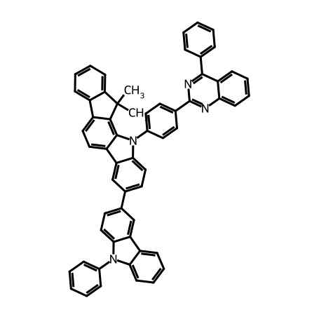 CC1(C)c2ccccc2-c2ccc3c4cc(-c5ccc6c(c5)c5ccccc5n6-c5ccccc5)ccc4n(-c4ccc(-c5nc(-c6ccccc6)c6ccccc6n5)cc4)c3c21